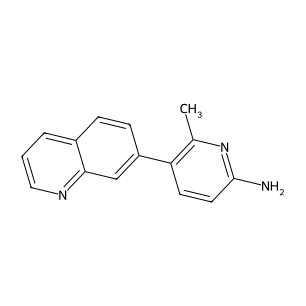 Cc1nc(N)ccc1-c1ccc2cccnc2c1